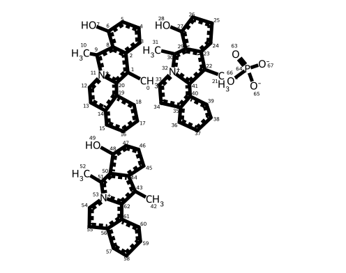 Cc1c2cccc(O)c2c(C)[n+]2ccc3ccccc3c12.Cc1c2cccc(O)c2c(C)[n+]2ccc3ccccc3c12.Cc1c2cccc(O)c2c(C)[n+]2ccc3ccccc3c12.O=P([O-])([O-])[O-]